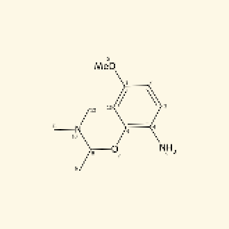 COc1ccc(N)c(OC(C)N(C)C)c1